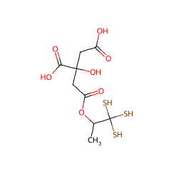 CC(OC(=O)CC(O)(CC(=O)O)C(=O)O)C(S)(S)S